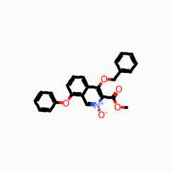 COC(=O)c1c(OCc2ccccc2)c2cccc(Oc3ccccc3)c2c[n+]1[O-]